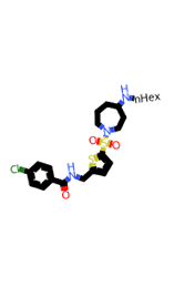 CCCCCCNC1CCCN(S(=O)(=O)c2ccc(CNC(=O)c3ccc(Cl)cc3)s2)CC1